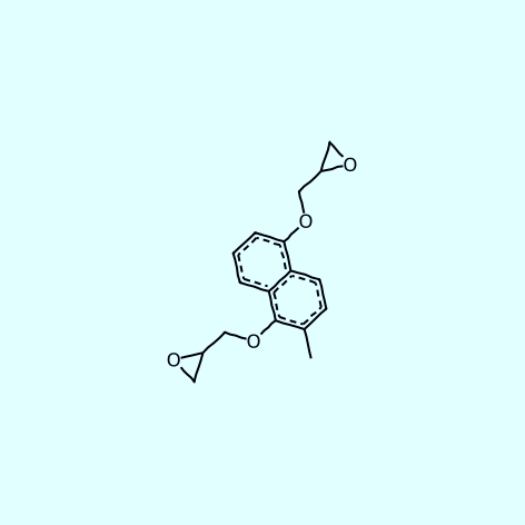 Cc1ccc2c(OCC3CO3)cccc2c1OCC1CO1